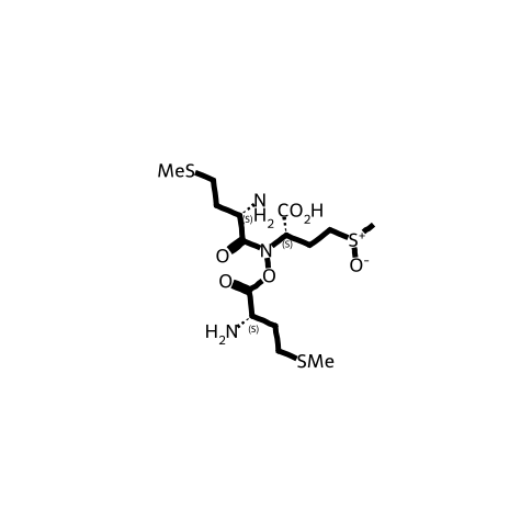 CSCC[C@H](N)C(=O)ON(C(=O)[C@@H](N)CCSC)[C@@H](CC[S+](C)[O-])C(=O)O